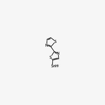 [SnH][c]1cnc(-c2nccs2)s1